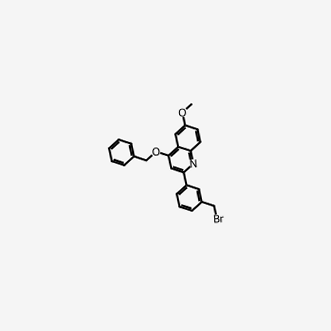 COc1ccc2nc(-c3cccc(CBr)c3)cc(OCc3ccccc3)c2c1